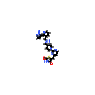 O=C1NC(=O)C(=Cc2ccnc(N3CCC(CNCc4cccnc4-c4ccn[nH]4)CC3)n2)S1